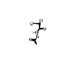 CC(=O)[N]NC(=O)C(Cl)Cl